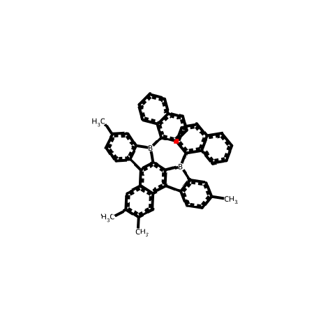 Cc1ccc2c(c1)B(c1cccc3ccccc13)c1c3c(c4cc(C)c(C)cc4c1-2)-c1ccc(C)cc1B3c1cccc2ccccc12